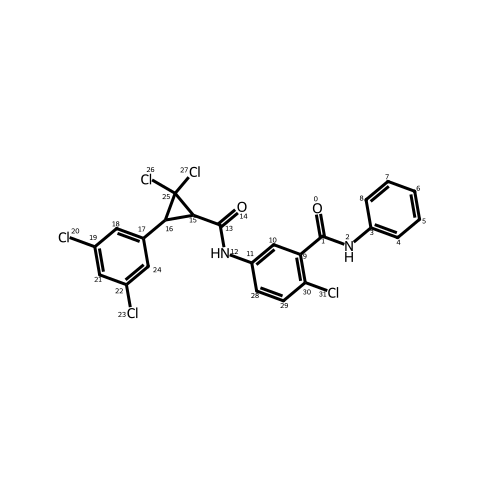 O=C(Nc1ccccc1)c1cc(NC(=O)C2C(c3cc(Cl)cc(Cl)c3)C2(Cl)Cl)ccc1Cl